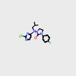 CC(C)CN(c1ccnc(Cl)n1)N1CCN(c2ccc(F)cc2)C1=O